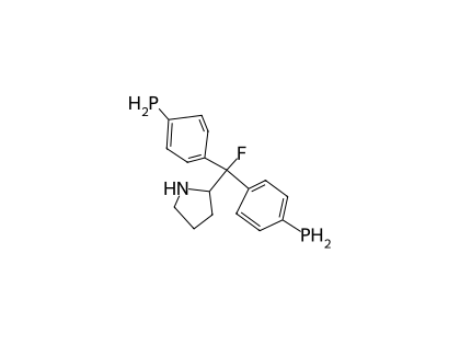 FC(c1ccc(P)cc1)(c1ccc(P)cc1)C1CCCN1